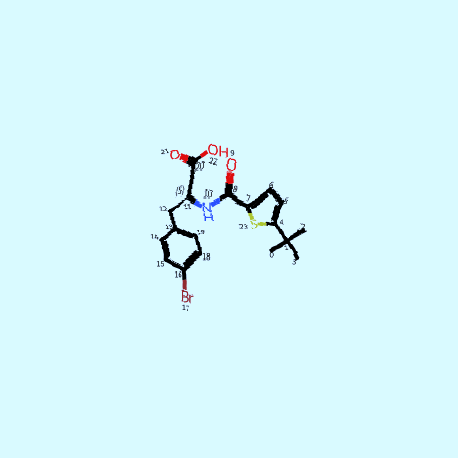 CC(C)(C)c1ccc(C(=O)N[C@@H](Cc2ccc(Br)cc2)C(=O)O)s1